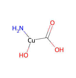 [NH2][Cu]([OH])[C](=O)O